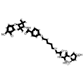 CC(C)(C)C(NC(=O)COCCCCCOc1ccc(C(=O)N[C@H]2C(C)(C)[C@H](Oc3ccc(C#N)c(Cl)c3)C2(C)C)cc1)C(=O)N1C[C@H](O)C[C@H]1C(=O)O